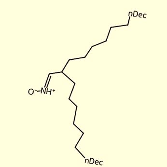 CCCCCCCCCCCCCCCCC(C=[NH+][O-])CCCCCCCCCCCCCCCC